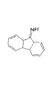 N=C1C2C=CC=CC2C2C=CC=CC12